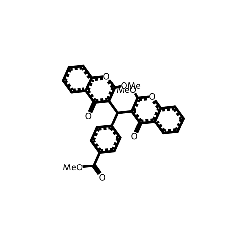 COC(=O)c1ccc(C(c2c(OC)oc3ccccc3c2=O)c2c(OC)oc3ccccc3c2=O)cc1